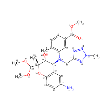 COC(=O)c1ccc(C)c(N(Cc2nnn(C)n2)[C@H]2c3cc(N)ccc3O[C@](C)(C(OC)OC)[C@@H]2O)c1